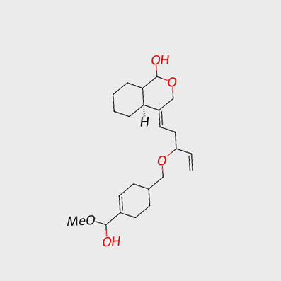 C=CC(C/C=C1\COC(O)C2CCCC[C@H]12)OCC1CC=C(C(O)OC)CC1